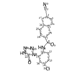 N#Cc1ccc2cc(C(=O)Nc3ccc(Cl)cc3-n3nn[nH]c3=O)ccc2c1